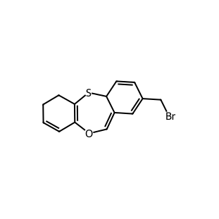 BrCC1=CC2=COC3=C(CCC=C3)SC2C=C1